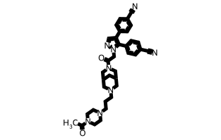 CC(=O)N1CCN(CCCN2CC3CC(C2)CN(C(=O)Cn2ncc(-c4ccc(C#N)cc4)c2-c2ccc(C#N)cc2)C3)CC1